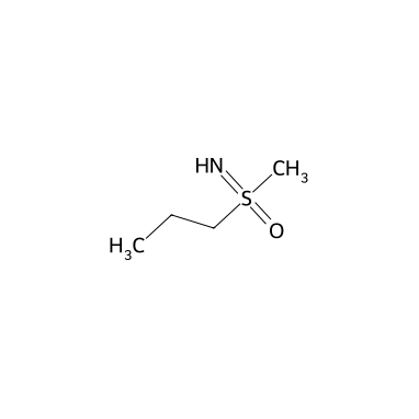 CCCS(C)(=N)=O